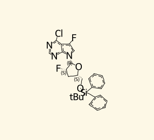 CC(C)(C)[Si](OC[C@@H]1C[C@H](F)[C@H](n2cc(F)c3c(Cl)ncnc32)O1)(c1ccccc1)c1ccccc1